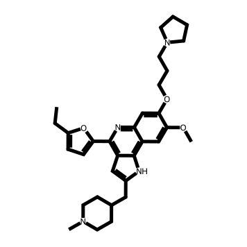 CCc1ccc(-c2nc3cc(OCCCN4CCCC4)c(OC)cc3c3[nH]c(CC4CCN(C)CC4)cc23)o1